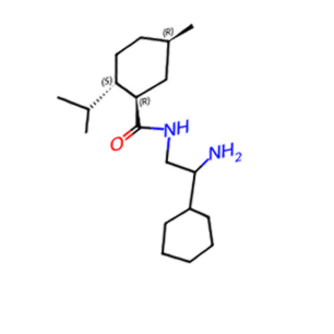 CC(C)[C@@H]1CC[C@@H](C)C[C@H]1C(=O)NCC(N)C1CCCCC1